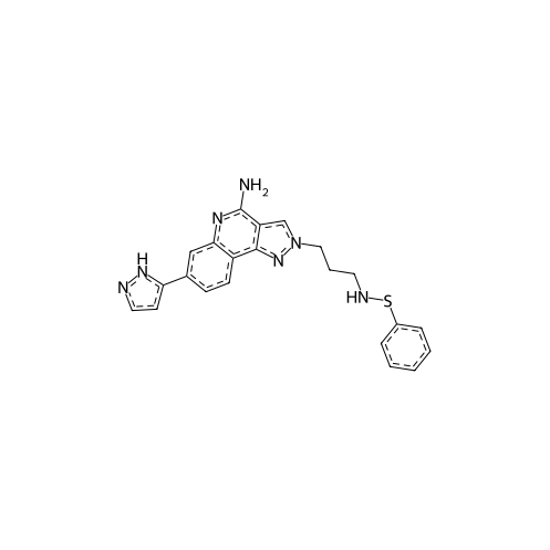 Nc1nc2cc(-c3ccn[nH]3)ccc2c2nn(CCCNSc3ccccc3)cc12